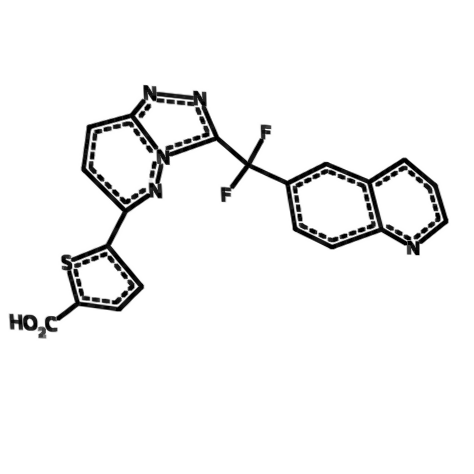 O=C(O)c1ccc(-c2ccc3nnc(C(F)(F)c4ccc5ncccc5c4)n3n2)s1